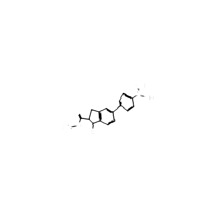 CCC1c2ccc(-c3ccc(N(C)C)cc3)cc2CC1C(=O)ON